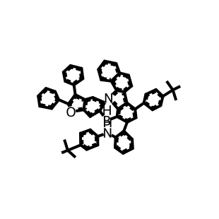 CC(C)(C)c1ccc(Nc2ccccc2-c2cc(-c3ccc(C(C)(C)C)cc3)c3c4ccc5ccccc5c4n4c3c2Bc2cc3oc(-c5ccccc5)c(-c5ccccc5)c3cc2-4)cc1